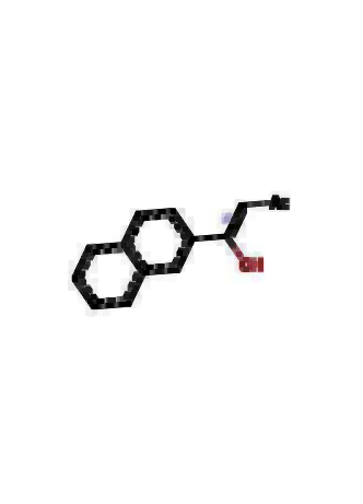 CC(=O)/C=C(\O)c1ccc2ccccc2c1